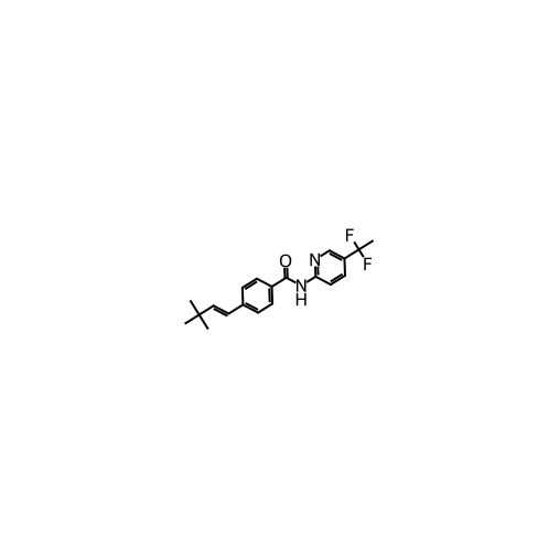 CC(C)(C)/C=C/c1ccc(C(=O)Nc2ccc(C(C)(F)F)cn2)cc1